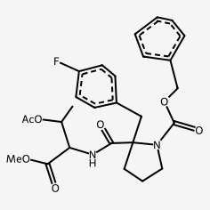 COC(=O)C(NC(=O)C1(Cc2ccc(F)cc2)CCCN1C(=O)OCc1ccccc1)C(C)OC(C)=O